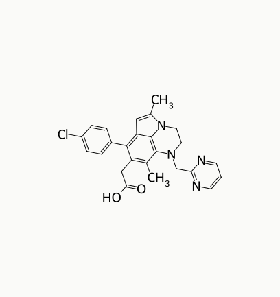 Cc1c(CC(=O)O)c(-c2ccc(Cl)cc2)c2cc(C)n3c2c1N(Cc1ncccn1)CC3